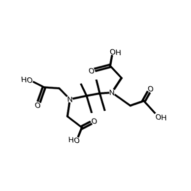 CC(C)(N(CC(=O)O)CC(=O)O)C(C)(C)N(CC(=O)O)CC(=O)O